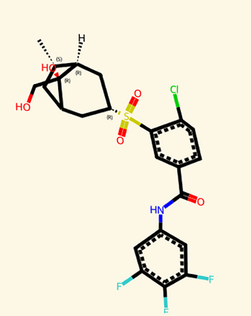 C[C@H]1CC2C[C@@H](S(=O)(=O)c3cc(C(=O)Nc4cc(F)c(F)c(F)c4)ccc3Cl)C[C@H]1[C@@]2(O)CO